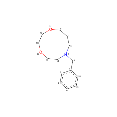 c1ccc(CN2CCCOCCOCC2)cc1